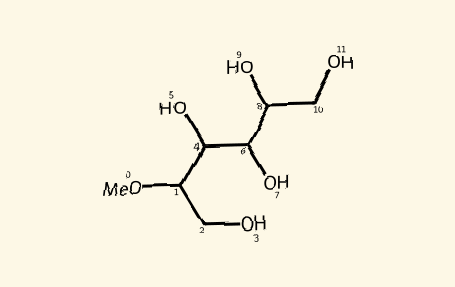 COC(CO)C(O)C(O)C(O)CO